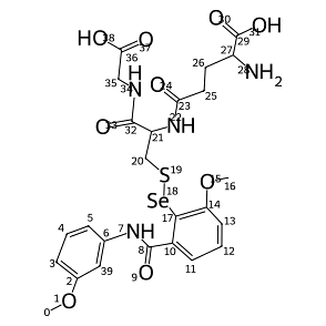 COc1cccc(NC(=O)c2cccc(OC)c2[Se]SCC(NC(=O)CCC(N)C(=O)O)C(=O)NCC(=O)O)c1